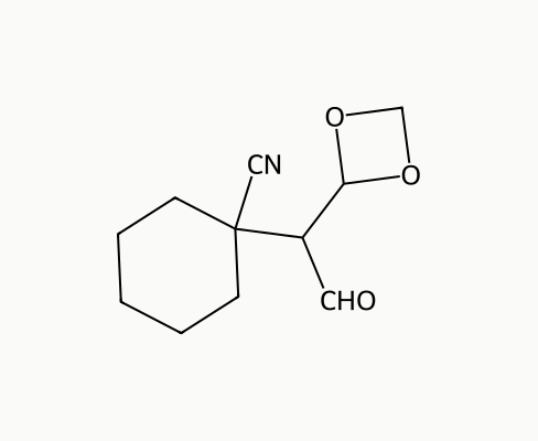 N#CC1(C(C=O)C2OCO2)CCCCC1